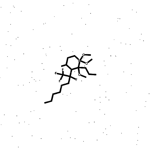 CCCCCCC(F)(C1C(C)CC[Si](OC)(OC)C1(CCC)OC)C(F)(F)F